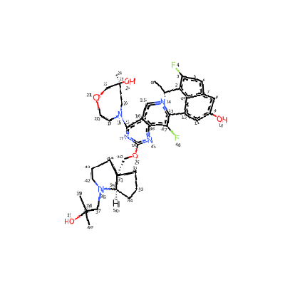 CCc1c(F)ccc2cc(O)cc(-c3ncc4c(N5CCOC[C@@](C)(O)C5)nc(OC[C@]56CCC[C@H]5N(CC(C)(C)O)CCC6)nc4c3F)c12